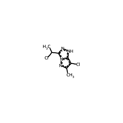 Cc1nn2c(C(C)Cl)n[nH]c2c1Cl